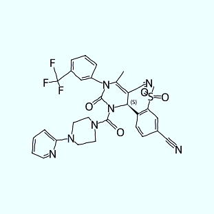 CC1=C(C#N)[C@@H](c2ccc(C#N)cc2S(C)(=O)=O)N(C(=O)N2CCN(c3ccccn3)CC2)C(=O)N1c1cccc(C(F)(F)F)c1